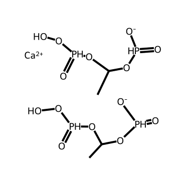 CC(O[PH](=O)[O-])O[PH](=O)OO.CC(O[PH](=O)[O-])O[PH](=O)OO.[Ca+2]